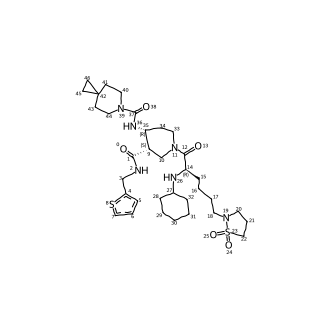 O=C(NCc1cccs1)[C@H]1CN(C(=O)[C@@H](CCCCN2CCCS2(=O)=O)NC2CCCCC2)CC[C@H]1NC(=O)N1CCC2(CC1)CC2